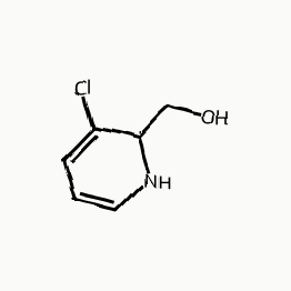 OC[C]1NC=CC=C1Cl